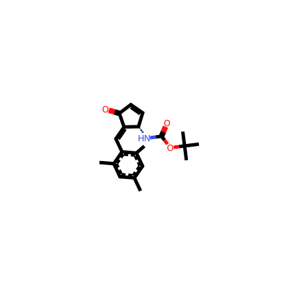 Cc1cc(C)c(/C=C2/C(=O)C=C[C@@H]2NC(=O)OC(C)(C)C)c(C)c1